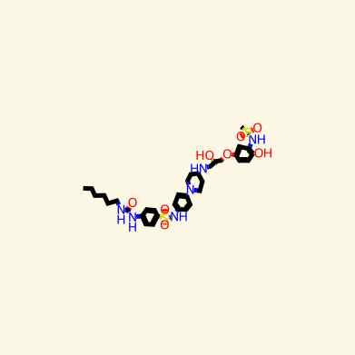 CCCCCCNC(=O)Nc1ccc(S(=O)(=O)Nc2ccc(N3CCC(NC[C@H](O)COc4ccc(O)c(NS(C)(=O)=O)c4)CC3)cc2)cc1